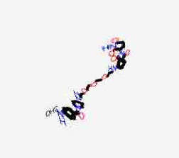 O=CNc1ccc(C(=O)N2CCC(NCCCOCCOCCOCCCNc3cccc4c3C(=O)N(C3CCC(=O)NC3=O)C4=O)CC2)cc1